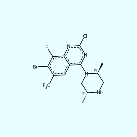 C[C@@H]1CN(c2nc(Cl)nc3c(F)c(Br)c(C(F)(F)F)cc23)[C@@H](C)CN1